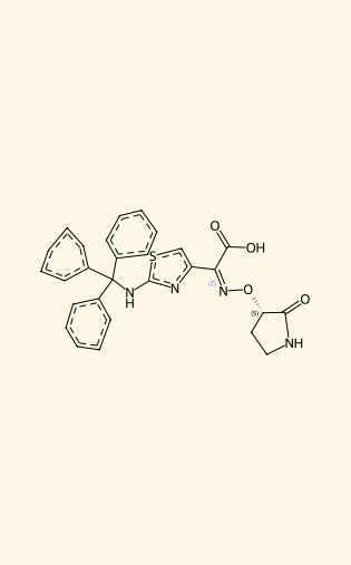 O=C(O)/C(=N\O[C@H]1CCNC1=O)c1csc(NC(c2ccccc2)(c2ccccc2)c2ccccc2)n1